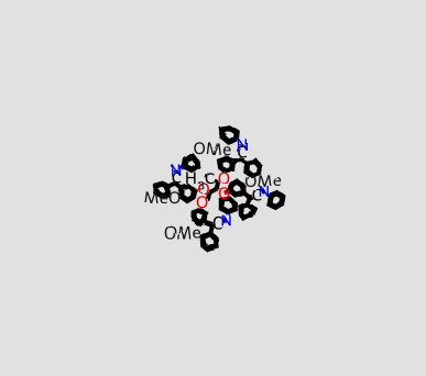 COc1ccc(OCC(Oc2ccc(OC)c(C(=C=Nc3ccccc3)c3ccccc3)c2)C(Oc2ccc(OC)c(C(=C=Nc3ccccc3)c3ccccc3)c2)C(C)Oc2ccc(OC)c(C(=C=Nc3ccccc3)c3ccccc3)c2)cc1C(=C=Nc1ccccc1)c1ccccc1